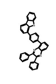 c1ccc(-c2nc3cccc(-c4ccc(-c5cccc6c5sc5ccccc56)cc4)c3nc2-c2ccccc2)cc1